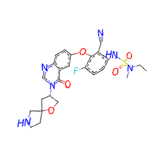 CCN(C)S(=O)(=O)Nc1ccc(F)c(Oc2ccc3ncn(C4COC5(CCNC5)C4)c(=O)c3c2)c1C#N